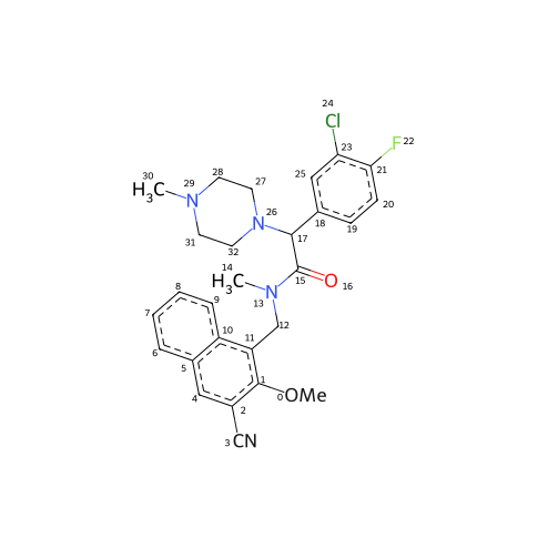 COc1c(C#N)cc2ccccc2c1CN(C)C(=O)C(c1ccc(F)c(Cl)c1)N1CCN(C)CC1